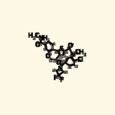 CNC(=O)c1ccc2c(c1)OCCc1cc(C(=O)N(C)c3cc(C(=O)N4CC(F)(F)C4)ccc3Cl)sc1-2